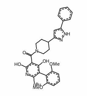 CCCCc1nc(O)c(C(=O)N2CCC(c3cc(-c4ccccc4)[nH]n3)CC2)c(O)c1-c1c(OC)cccc1OC